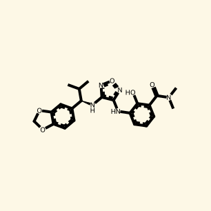 CC(C)[C@@H](Nc1nonc1Nc1cccc(C(=O)N(C)C)c1O)c1ccc2c(c1)OCO2